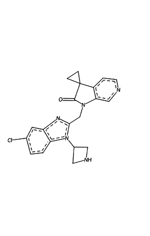 O=C1N(Cc2nc3cc(Cl)ccc3n2C2CNC2)c2cnccc2C12CC2